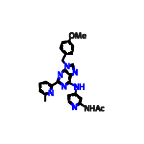 COc1ccc(Cn2cnc3c(Nc4ccnc(NC(C)=O)c4)nc(-c4cccc(C)n4)nc32)cc1